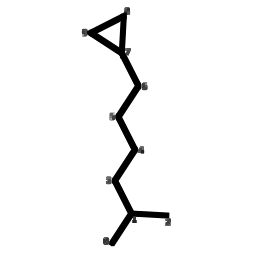 CC(C)CCCC[C]1CC1